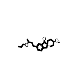 CCCOC(C)CCc1ccc2c(c1)C(=O)[C@]1(CC[C@H](OC)CC1)C2